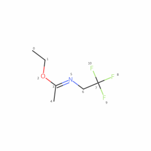 CCOC(C)=NCC(F)(F)F